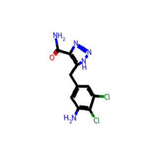 NC(=O)c1nn[nH]c1Cc1cc(N)c(Cl)c(Cl)c1